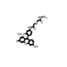 NNC(=O)CSCC(=O)Nc1ccc(-c2c3ccc(=O)cc-3oc3cc(O)ccc23)c(C(=O)O)c1